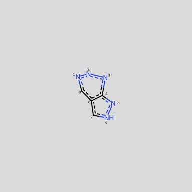 c1nnnc2n[nH]cc12